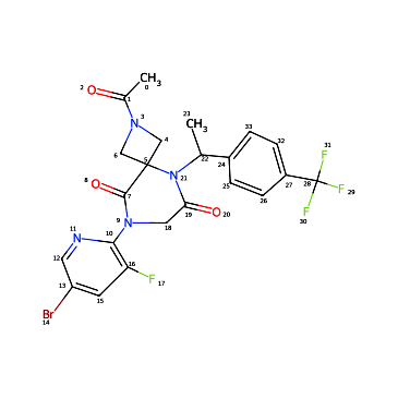 CC(=O)N1CC2(C1)C(=O)N(c1ncc(Br)cc1F)CC(=O)N2C(C)c1ccc(C(F)(F)F)cc1